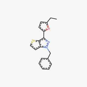 CCc1ccc(-c2nn(Cc3ccccc3)c3ccsc23)o1